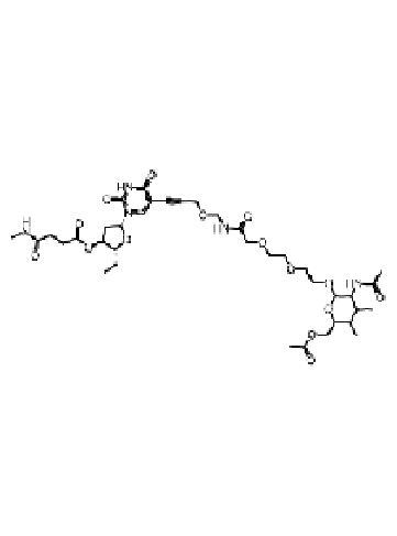 CC[C@H]1O[C@@H](n2cc(C#CCOCNC(=O)COCCOCCOC3OC(COC(C)=O)C(C)C(C)C3NC(C)=O)c(=O)[nH]c2=O)CC1OC(=O)CCC(=O)NC